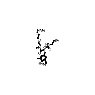 CNOCCOCCN(C)C(=O)[C@@H](Cc1cc(C)c2[nH]ncc2c1)OC(=O)NCCC(C)C